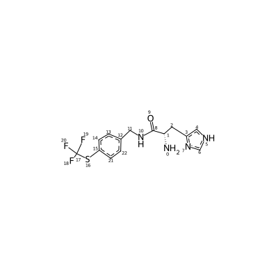 N[C@@H](Cc1c[nH]cn1)C(=O)NCc1ccc(SC(F)(F)F)cc1